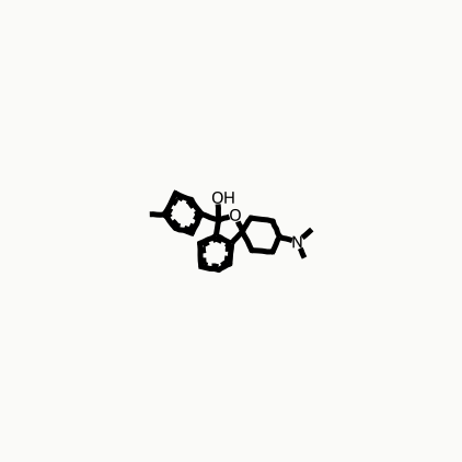 Cc1ccc(C2(O)OC3(CCC(N(C)C)CC3)c3ccccc32)cc1